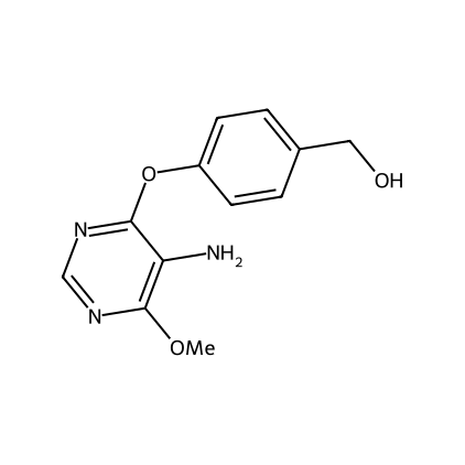 COc1ncnc(Oc2ccc(CO)cc2)c1N